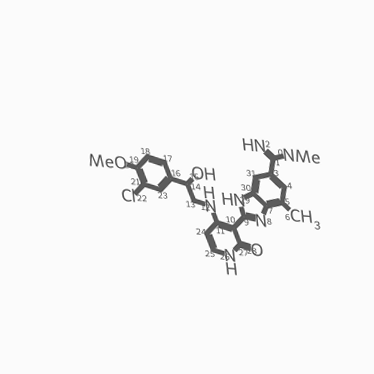 CNC(=N)c1cc(C)c2nc(-c3c(NCC(O)c4ccc(OC)c(Cl)c4)cc[nH]c3=O)[nH]c2c1